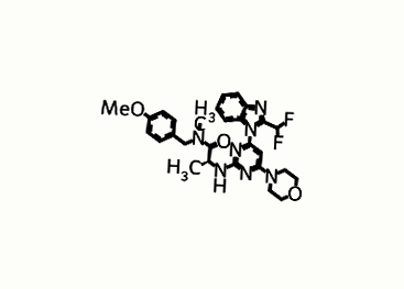 COc1ccc(CN(C)C(=O)[C@H](C)Nc2nc(N3CCOCC3)cc(-n3c(C(F)F)nc4ccccc43)n2)cc1